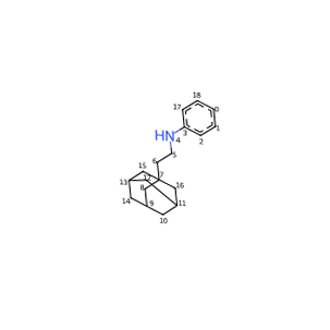 c1ccc(NCCC23CC4CC(CC(C4)C2)C3)cc1